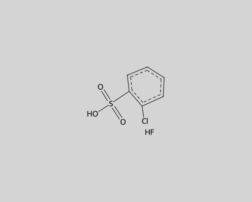 F.O=S(=O)(O)c1ccccc1Cl